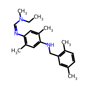 CCN(C)/C=N\c1cc(C)c(NCc2cc(C)ccc2C)cc1C